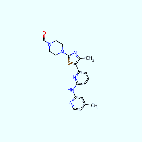 Cc1ccnc(Nc2cccc(-c3sc(N4CCN(C=O)CC4)nc3C)n2)c1